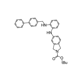 CC(C)(C)OC(=O)N1Cc2ccc(Nc3ccccc3NCc3ccc(-c4ccccc4)cc3)cc2C1